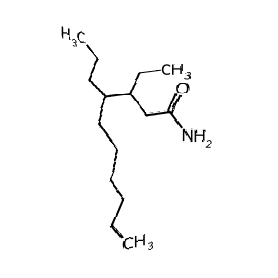 CCCCCCC(CCC)C(CC)CC(N)=O